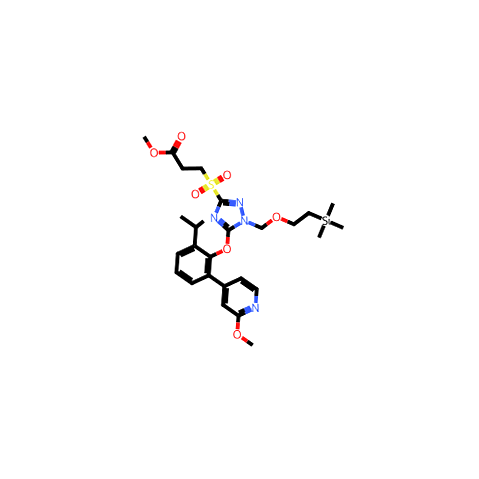 COC(=O)CCS(=O)(=O)c1nc(Oc2c(-c3ccnc(OC)c3)cccc2C(C)C)n(COCC[Si](C)(C)C)n1